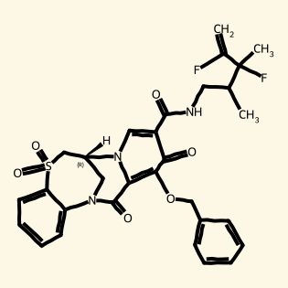 C=C(F)C(C)(F)C(C)CNC(=O)c1cn2c(c(OCc3ccccc3)c1=O)C(=O)N1C[C@@H]2CS(=O)(=O)c2ccccc21